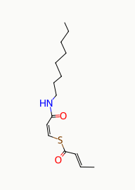 CC=CC(=O)S/C=C\C(=O)NCCCCCCCC